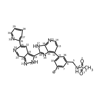 CS(=O)(=O)NCc1cc(F)cc(-c2ccnc3[nH]c(-c4[nH]nc5cnc(-c6ccccn6)cc45)nc23)c1